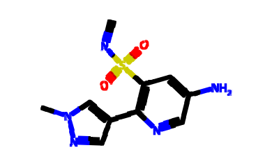 C=NS(=O)(=O)c1cc(N)cnc1-c1cnn(C)c1